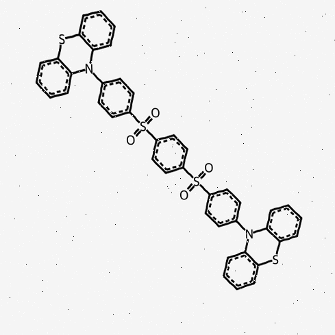 O=S(=O)(c1ccc(N2c3ccccc3Sc3ccccc32)cc1)c1ccc(S(=O)(=O)c2ccc(N3c4ccccc4Sc4ccccc43)cc2)cc1